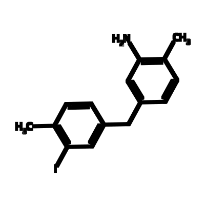 Cc1ccc(Cc2ccc(C)c(I)c2)cc1N